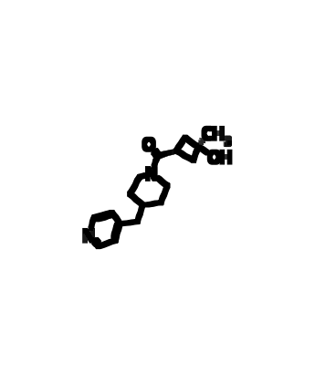 C[C@]1(O)C[C@@H](C(=O)N2CCC(Cc3ccncc3)CC2)C1